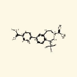 COC(=O)c1ccc(-c2ccc3c(c2)CCN(C(=O)O)CC3C(C)(C)C)nc1